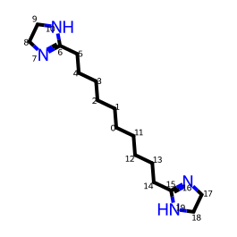 C(CCCCCC1=NCCN1)CCCCC1=NCCN1